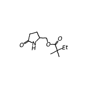 CCC(C)(C)C(=O)OCC1CCC(=O)N1